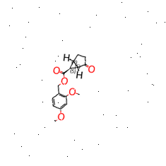 COc1ccc(COC(=O)[C@H]2[C@@H]3CCC(=O)[C@@H]32)c(OC)c1